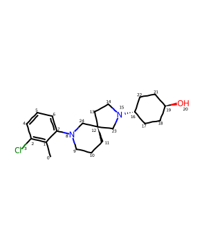 Cc1c(Cl)cccc1N1CCC[C@]2(CCN([C@H]3CC[C@H](O)CC3)C2)C1